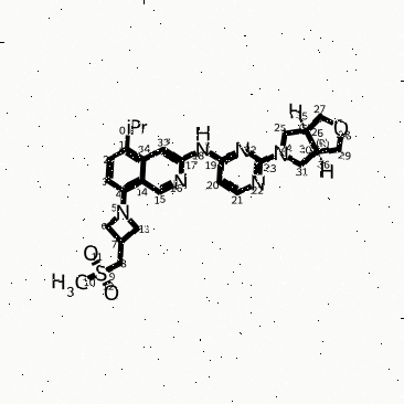 CC(C)c1ccc(N2CC(CS(C)(=O)=O)C2)c2cnc(Nc3ccnc(N4C[C@H]5COC[C@H]5C4)n3)cc12